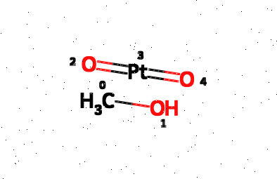 CO.[O]=[Pt]=[O]